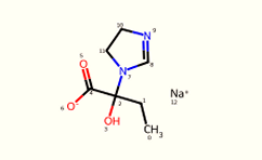 CCC(O)(C(=O)[O-])N1C=NCC1.[Na+]